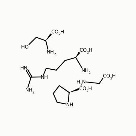 N=C(N)NCCC[C@H](N)C(=O)O.NCC(=O)O.N[C@@H](CO)C(=O)O.O=C(O)[C@@H]1CCCN1